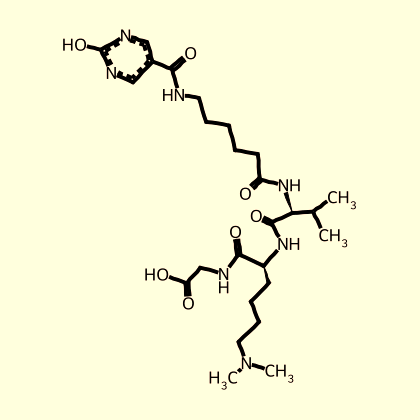 CC(C)[C@H](NC(=O)CCCCCNC(=O)c1cnc(O)nc1)C(=O)N[C@@H](CCCCN(C)C)C(=O)NCC(=O)O